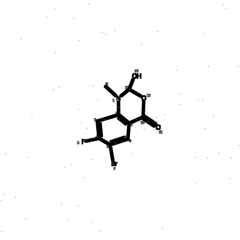 CN1c2cc(F)c(Br)cc2C(=O)OC1O